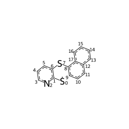 [S]c1ncccc1Sc1cccc2ccccc12